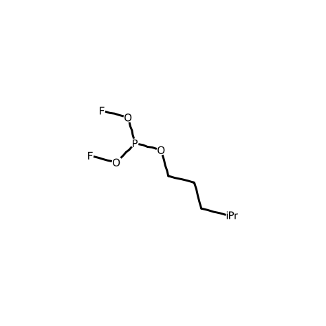 CC(C)CCCOP(OF)OF